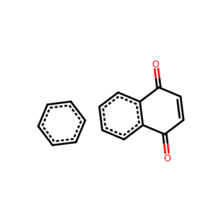 O=C1C=CC(=O)c2ccccc21.c1ccccc1